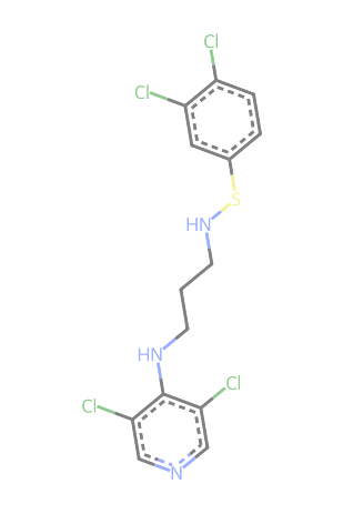 Clc1ccc(SNCCCNc2c(Cl)cncc2Cl)cc1Cl